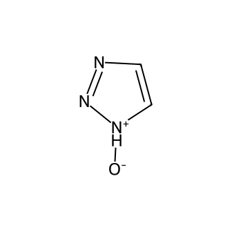 [O-][NH+]1C=CN=N1